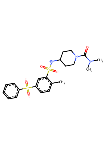 Cc1ccc(S(=O)(=O)c2ccccc2)cc1S(=O)(=O)NC1CCN(C(=O)N(C)C)CC1